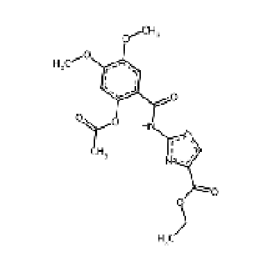 CCOC(=O)c1csc(NC(=O)c2cc(OC)c(OC)cc2OC(C)=O)n1